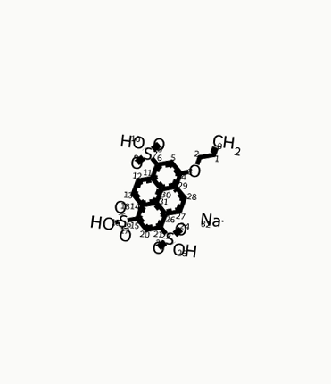 C=CCOc1cc(S(=O)(=O)O)c2ccc3c(S(=O)(=O)O)cc(S(=O)(=O)O)c4ccc1c2c43.[Na]